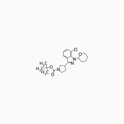 CC(C)(C)OC(=O)N1CCC(c2nn(C3CCCCO3)c3c(Cl)cccc23)C1